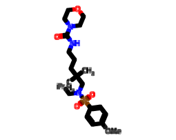 COc1ccc(S(=O)(=O)N(CC(C)C)CC(C)(C)CCCNC(=O)N2CCOCC2)cc1